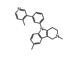 Cc1ccc2c(c1)c1c(n2-c2cccc(-c3cnccc3C)c2)CCN(C)C1